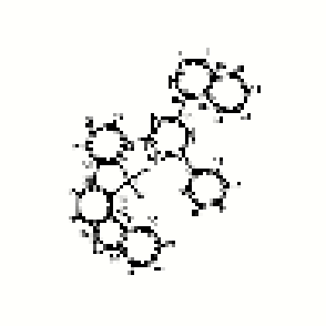 CC1(C)c2c(-c3nc(-c4ccccc4)nc(-c4nccc5ccccc45)n3)cccc2-c2ccc3oc4ccccc4c3c21